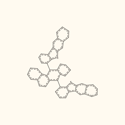 c1ccc2cc3c(cc2c1)sc1c(-c2c4ccccc4c(-c4cccc5c4sc4cc6ccccc6cc45)c4c2ccc2ccccc24)cccc13